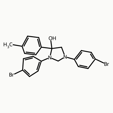 Cc1ccc(C2(O)CN(c3ccc(Br)cc3)CN2c2ccc(Br)cc2)cc1